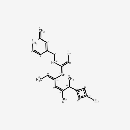 C=C/C=C(\C=C/C)CN/C(=C\CC)NC(/C=C(/C(C)CC)C(C)c1cn(C)s1)=C/C